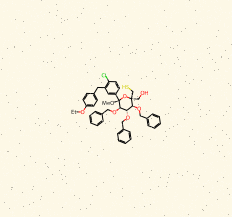 CCOc1ccc(Cc2cc([C@]3(OC)O[C@](CO)(CS)[C@@H](OCc4ccccc4)[C@H](OCc4ccccc4)[C@H]3OCc3ccccc3)ccc2Cl)cc1